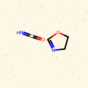 C1=NCCO1.N=C=O